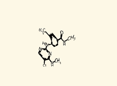 CNC(=O)c1ccc(Nc2ncc(Cl)c(NC)n2)c(C)c1